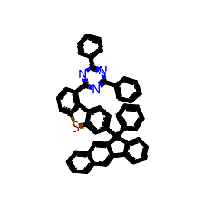 c1ccc(-c2nc(-c3ccccc3)nc(-c3cccc4sc5cc(C6(c7ccccc7)c7ccccc7-c7cc8ccccc8cc76)ccc5c34)n2)cc1